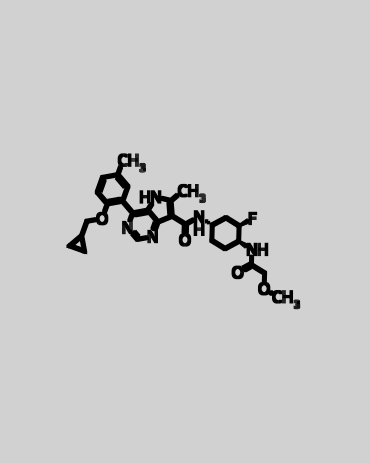 COCC(=O)N[C@H]1CC[C@H](NC(=O)c2c(C)[nH]c3c(-c4cc(C)ccc4OCC4CC4)ncnc23)C[C@H]1F